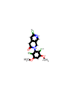 COc1cc(OC)c(F)c(N2Cc3cnc(Cl)cc3CC2=O)c1F